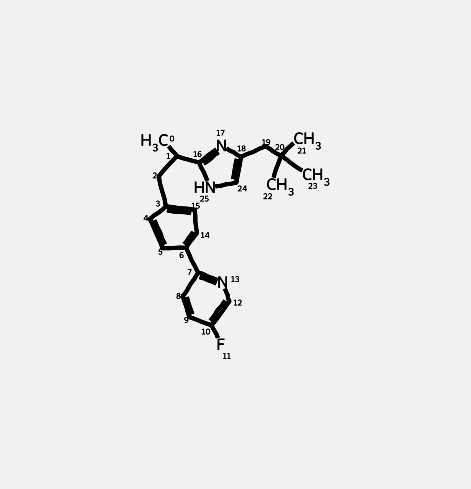 CC(Cc1ccc(-c2ccc(F)cn2)cc1)c1nc(CC(C)(C)C)c[nH]1